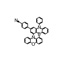 N#Cc1ccc(-c2cc3c4c(c2)N2c5ccccc5Oc5cccc(c52)B4c2ccccc2N3c2ccccc2)cc1